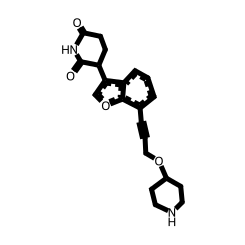 O=C1CCC(c2coc3c(C#CCOC4CCNCC4)cccc23)C(=O)N1